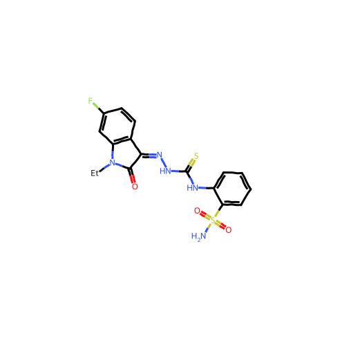 CCN1C(=O)C(=NNC(=S)Nc2ccccc2S(N)(=O)=O)c2ccc(F)cc21